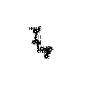 CN(CCCn1nnc2cc(CNCCC3C=CC(O)=C4NC(=O)C=CC43)c3c(c21)CCC3)[C@H]1CC[C@H](OC(=O)[C@@](O)(c2cccs2)c2ccc(-c3ccccc3)s2)CC1